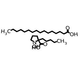 CCCCCC1(C(=O)O)CCCN1O.CCCCCCCCCCCCCCCC(=O)O